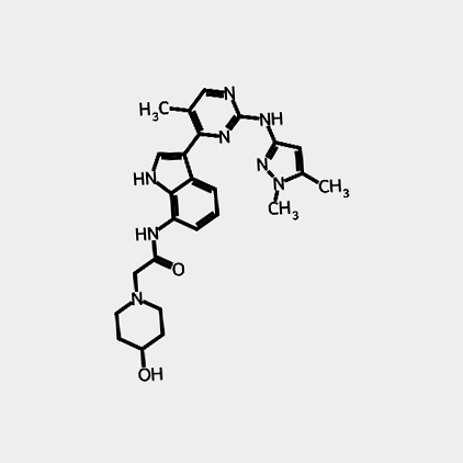 Cc1cnc(Nc2cc(C)n(C)n2)nc1-c1c[nH]c2c(NC(=O)CN3CCC(O)CC3)cccc12